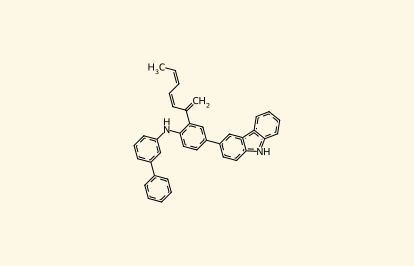 C=C(/C=C\C=C/C)c1cc(-c2ccc3[nH]c4ccccc4c3c2)ccc1Nc1cccc(-c2ccccc2)c1